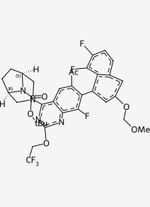 COCOc1cc(-c2c(C(C)=O)cc3c(N4C[C@H]5CC[C@@H](C4)N5C(=O)OC(C)(C)C)nc(OCC(F)(F)F)nc3c2F)c2c(F)c(F)ccc2c1